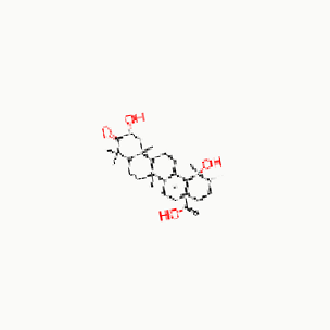 C=C(O)[C@]12CC[C@@H](C)[C@@](C)(O)C1C1=CCC3[C@@]4(C)C[C@@H](O)C(=O)C(C)(C)C4CC[C@@]3(C)[C@]1(C)CC2